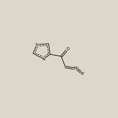 [N-]=[N+]=CC(=O)c1cscn1